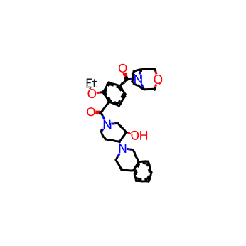 CCOc1cc(C(=O)N2C3CCC2COC3)ccc1C(=O)N1CC[C@@H](N2CCc3ccccc3C2)[C@H](O)C1